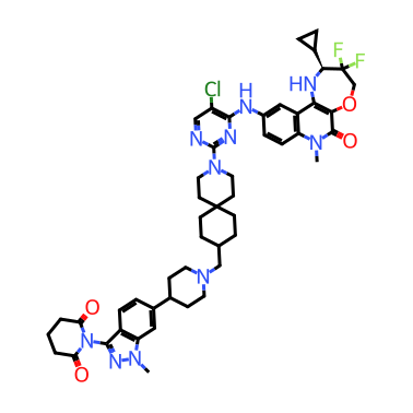 Cn1nc(N2C(=O)CCCC2=O)c2ccc(C3CCN(CC4CCC5(CC4)CCN(c4ncc(Cl)c(Nc6ccc7c(c6)c6c(c(=O)n7C)OCC(F)(F)[C@H](C7CC7)N6)n4)CC5)CC3)cc21